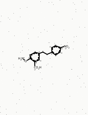 NOc1ccc(CCc2ccc([N+](=O)[O-])cc2)cc1C(=O)O